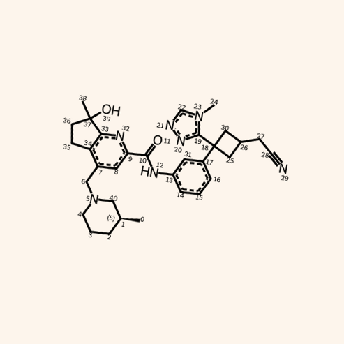 C[C@H]1CCCN(Cc2cc(C(=O)Nc3cccc(C4(c5nncn5C)CC(CC#N)C4)c3)nc3c2CCC3(C)O)C1